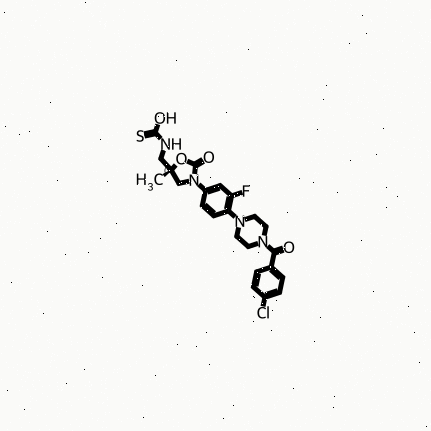 C[C@]1(CNC(O)=S)CN(c2ccc(N3CCN(C(=O)c4ccc(Cl)cc4)CC3)c(F)c2)C(=O)O1